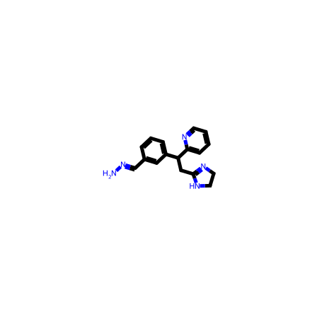 NN=Cc1cccc(C(CC2=NCCN2)c2ccccn2)c1